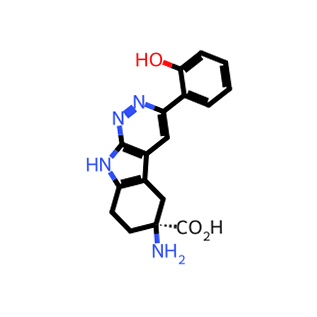 N[C@@]1(C(=O)O)CCc2[nH]c3nnc(-c4ccccc4O)cc3c2C1